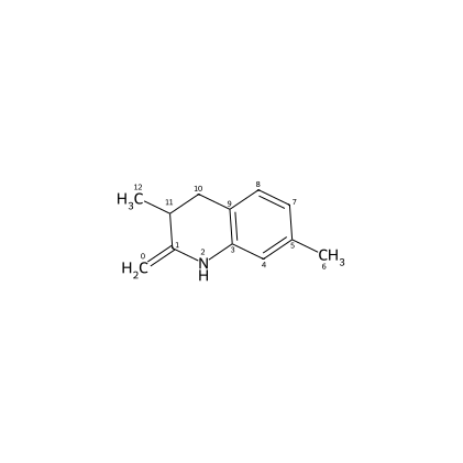 C=C1Nc2cc(C)ccc2CC1C